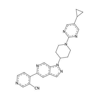 N#Cc1cnccc1-c1cc2cnn(C3CCN(c4ncc(C5CC5)cn4)CC3)c2cn1